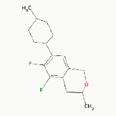 CC1CCC(c2cc3c(c(F)c2F)CC(C)OC3)CC1